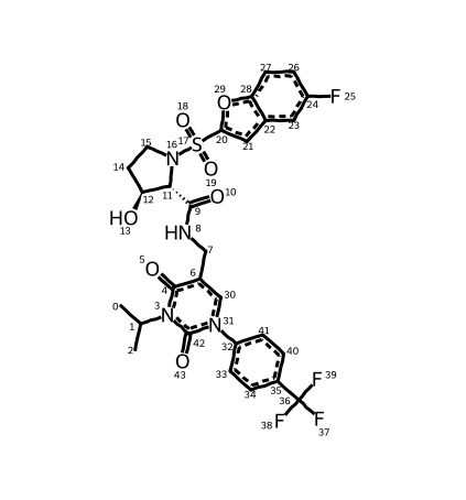 CC(C)n1c(=O)c(CNC(=O)[C@@H]2[C@@H](O)CCN2S(=O)(=O)c2cc3cc(F)ccc3o2)cn(-c2ccc(C(F)(F)F)cc2)c1=O